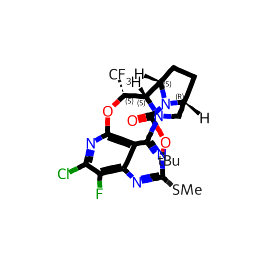 CSc1nc2c3c(nc(Cl)c(F)c3n1)O[C@H](C(F)(F)F)[C@@H]1[C@@H]3CC[C@H](CN21)N3C(=O)OC(C)(C)C